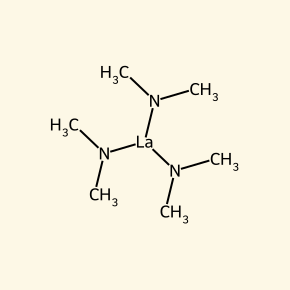 C[N](C)[La]([N](C)C)[N](C)C